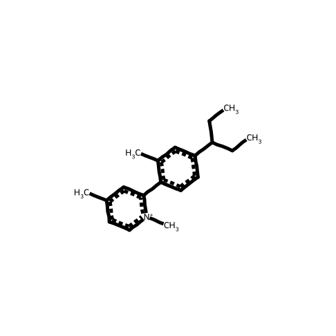 CCC(CC)c1ccc(-c2cc(C)cc[n+]2C)c(C)c1